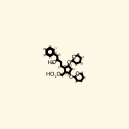 O=C(O)CC1C(OC2CCCCO2)CC(OC2CCCCO2)C1CCC(O)Cc1ccccc1